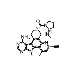 C#Cc1cc(C)c2c(n1)c1c(c3c4c(N)ncnc4n(C)c23)CC[C@H](C(=O)N2CCC[C@H]2NC)C1